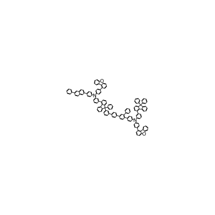 c1ccc(-c2ccc3cc(-c4ccc(N(c5ccc(-c6cccc7oc8ccccc8c67)cc5)c5cccc(-c6cccc7c6-c6ccccc6C7(c6ccccc6)c6cccc(-c7ccc(-c8ccc(-c9ccc(N(c%10ccc(-c%11cccc%12oc%13ccccc%13c%11%12)cc%10)c%10cccc(-c%11cccc%12c%11-c%11ccccc%11C%12(c%11ccccc%11)c%11ccccc%11)c%10)cc9)c(-c9ccccc9)c8)cc7)c6)c5)cc4)ccc3c2)cc1